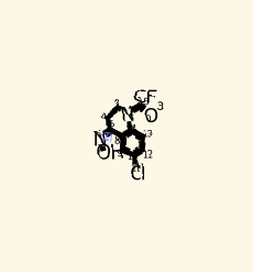 O=C(N1CC/C(=N/O)c2cc(Cl)ccc21)C(F)(F)F